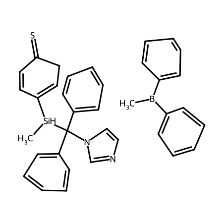 CB(c1ccccc1)c1ccccc1.C[SiH](C1=CCC(=S)C=C1)C(c1ccccc1)(c1ccccc1)n1ccnc1